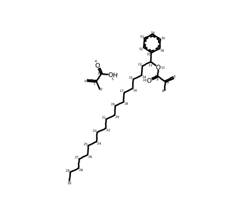 C=C(C)C(=O)O.C=C(C)C(=O)OC(CCCCCCCCCCCCCCCCCC)c1ccccc1